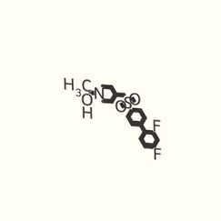 CC(O)N1CCC(CS(=O)(=O)C2CC=C(C3CC=C(F)CC3F)CC2)CC1